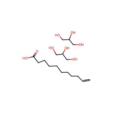 C=CCCCCCCCCC(=O)O.OCC(O)CO.OCC(O)CO